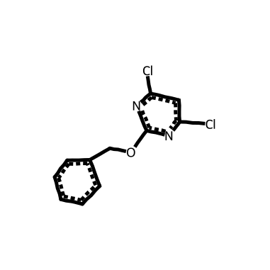 Clc1cc(Cl)nc(OCc2ccccc2)n1